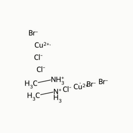 C[NH3+].C[NH3+].[Br-].[Br-].[Br-].[Cl-].[Cl-].[Cl-].[Cu+2].[Cu+2]